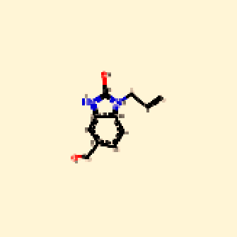 C=CCn1c(=O)[nH]c2cc(C=O)ccc21